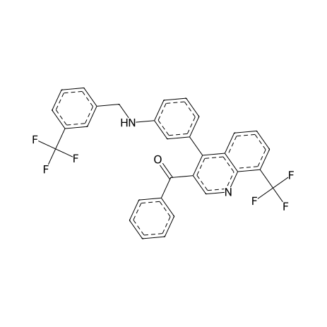 O=C(c1ccccc1)c1cnc2c(C(F)(F)F)cccc2c1-c1cccc(NCc2cccc(C(F)(F)F)c2)c1